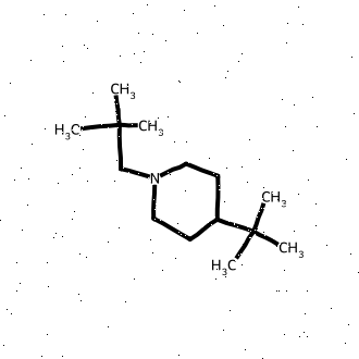 CC(C)(C)CN1CCC(C(C)(C)C)CC1